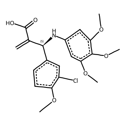 C=C(C(=O)O)[C@@H](Nc1cc(OC)c(OC)c(OC)c1)c1ccc(OC)c(Cl)c1